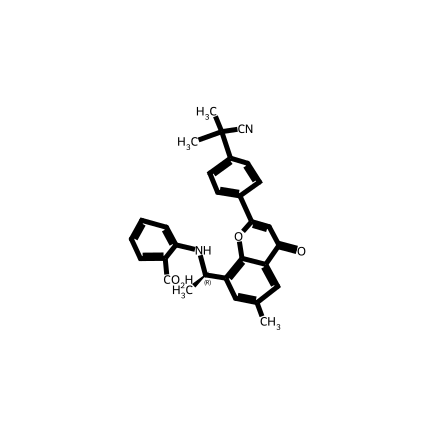 Cc1cc([C@@H](C)Nc2ccccc2C(=O)O)c2oc(-c3ccc(C(C)(C)C#N)cc3)cc(=O)c2c1